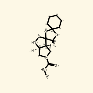 CC(C)NC(=O)N1C[C@H]2NOC3(OC4(CCCCC4)OC3=O)[C@H]2C1